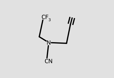 C#CCN(C#N)CC(F)(F)F